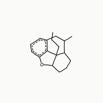 CCCC12c3c4cccc3OC1CCCC2C(C)C4